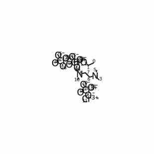 CCO.CN(C)CCN(C)C.[Cr+3].[O-][Cl+3]([O-])([O-])[O-].[O-][Cl+3]([O-])([O-])[O-].[O-][Cl+3]([O-])([O-])[O-]